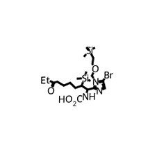 CCC(=O)CCCCC(C(NC(=O)O)c1ncc(Br)n1COCC[Si](C)(C)C)[Si](C)(C)C